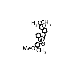 COc1ccc(S(=O)(=O)CN(Cc2ccc3c(c2)C=CC(C)(C)O3)c2ccccc2)cc1C